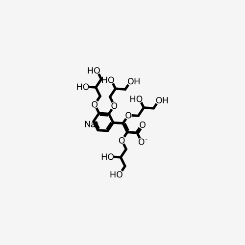 O=C([O-])C(OCC(O)CO)=C(OCC(O)CO)c1cccc(OCC(O)CO)c1OCC(O)CO.[Na+]